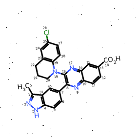 Cc1n[nH]c2ccc(-c3nc4ccc(C(=O)O)cc4nc3N3CCCc4cc(Cl)ccc43)cc12